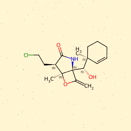 C=C1O[C@@]2(C)[C@@H](CCCl)C(=O)N[C@@]12[C@@H](O)[C@]1(C)C=CCCC1